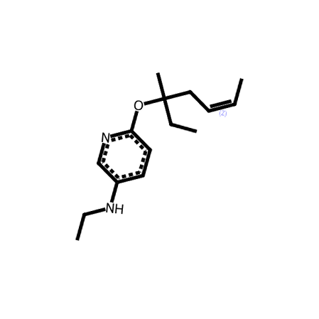 C/C=C\CC(C)(CC)Oc1ccc(NCC)cn1